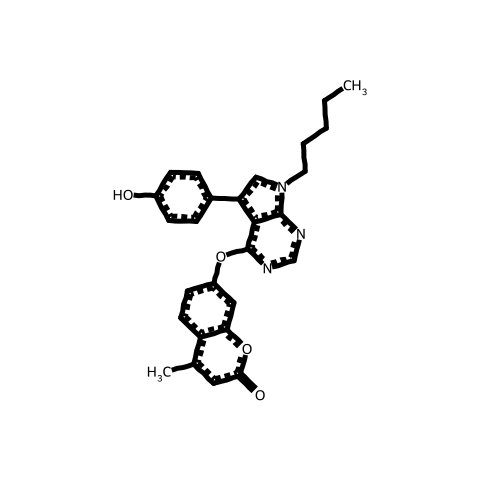 CCCCCn1cc(-c2ccc(O)cc2)c2c(Oc3ccc4c(C)cc(=O)oc4c3)ncnc21